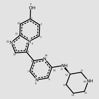 Oc1ccn2c(-c3cncc(N[C@@H]4CCCNC4)n3)cnc2c1